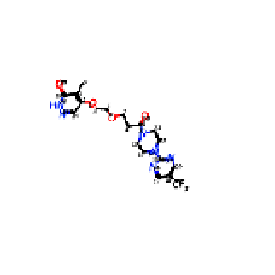 Cc1c(OCCOCCC(=O)N2CCN(c3ncc(C(F)(F)F)cn3)CC2)cn[nH]c1=O